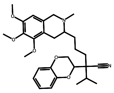 COc1cc2c(c(OC)c1OC)CC(CCCC(C#N)(C(C)C)C1COc3ccccc3O1)N(C)C2